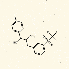 NC(Cc1cccc(S(=O)(=O)C(F)(F)F)c1)C(O)c1ccc(F)cc1